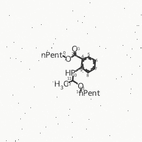 CCCCCOC(=O)c1ccccc1PC(C)OCCCCC